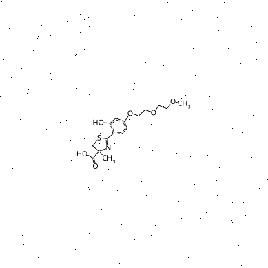 COCCOCCOc1ccc(C2=NC(C)(C(=O)O)CS2)c(O)c1